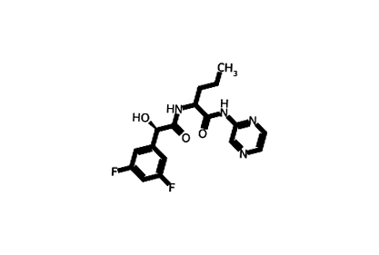 CCCC(NC(=O)[C@H](O)c1cc(F)cc(F)c1)C(=O)Nc1cnccn1